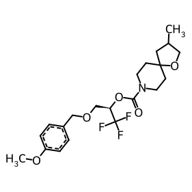 COc1ccc(COC[C@@H](OC(=O)N2CCC3(CC2)CC(C)CO3)C(F)(F)F)cc1